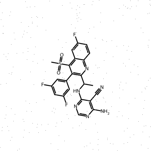 CC(Nc1ncnc(N)c1C#N)c1nc2ccc(F)cc2c(S(C)(=O)=O)c1-c1cc(F)cc(F)c1